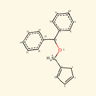 C1=CCC([SiH2]OC(c2ccccc2)c2ccccc2)=C1